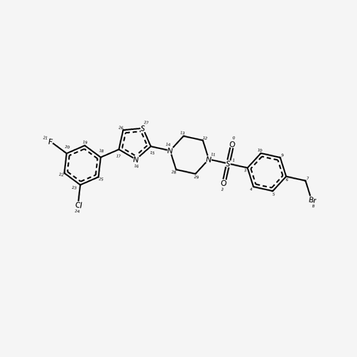 O=S(=O)(c1ccc(CBr)cc1)N1CCN(c2nc(-c3cc(F)cc(Cl)c3)cs2)CC1